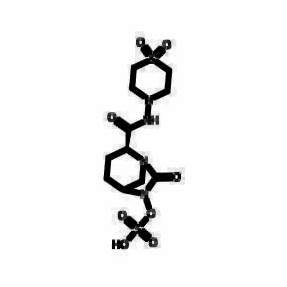 O=C(NN1CCS(=O)(=O)CC1)[C@@H]1CCC2CN1C(=O)N2OS(=O)(=O)O